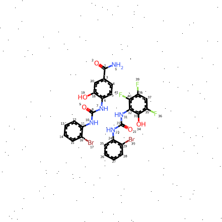 NC(=O)c1ccc(NC(=O)Nc2ccccc2Br)c(O)c1.O=C(Nc1ccccc1Br)Nc1c(O)c(F)cc(F)c1F